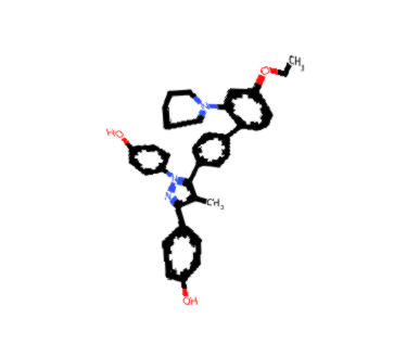 CCOc1ccc(-c2ccc(-c3c(C)c(-c4ccc(O)cc4)nn3-c3ccc(O)cc3)cc2)c(N2CCCCC2)c1